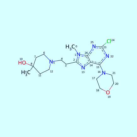 Cn1c(CCN2CCC(C)(O)CC2)nc2c(N3CCOCC3)nc(Cl)nc21